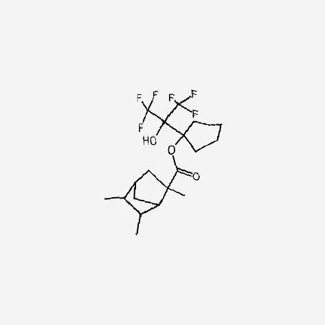 CC1C2CC(C1C)C(C)(C(=O)OC1(C(O)(C(F)(F)F)C(F)(F)F)CCCC1)C2